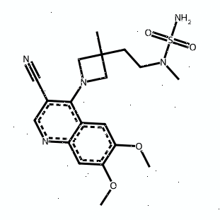 COc1cc2ncc(C#N)c(N3CC(C)(CCN(C)S(N)(=O)=O)C3)c2cc1OC